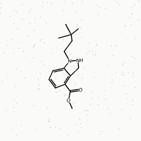 COC(=O)c1cccc2c1CNN2CCC(C)(C)C